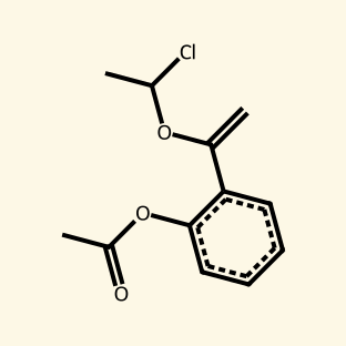 C=C(OC(C)Cl)c1ccccc1OC(C)=O